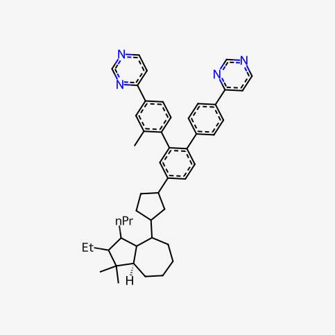 CCCC1C2C(C3CCC(c4ccc(-c5ccc(-c6ccncn6)cc5)c(-c5ccc(-c6ccncn6)cc5C)c4)C3)CCCC[C@H]2C(C)(C)C1CC